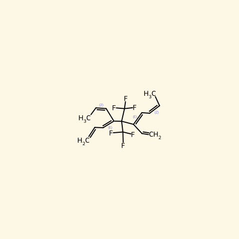 C=C/C=C(\C=C/C)C(/C(C=C)=C/C=C\C)(C(F)(F)F)C(F)(F)F